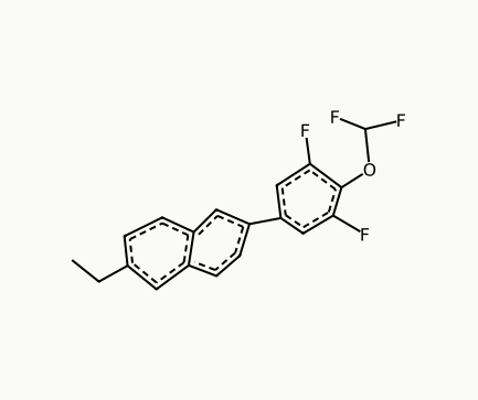 CCc1ccc2cc(-c3cc(F)c(OC(F)F)c(F)c3)ccc2c1